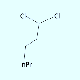 [CH2]CCCCC(Cl)Cl